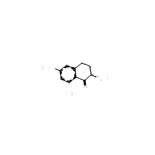 Br.NC1CCc2cc(O)ccc2C1=O